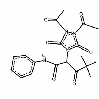 CC(=O)n1c(=O)n(C(C(=O)Nc2ccccc2)C(=O)C(C)(C)C)c(=O)n1C(C)=O